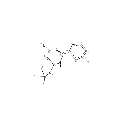 CC(C)(C)OC(=O)N[C@@H](CCI)c1cccc(F)c1